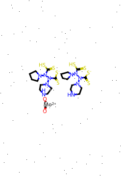 S=C([S-])N(N1CCNCC1)N(C(=S)S)N1CCCC1.S=C([S-])N(N1CCNCC1)N(C(=S)S)N1CCCC1.[O]=[Mo+2]=[O]